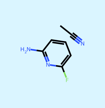 CC#N.Nc1cccc(F)n1